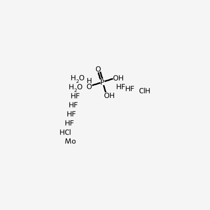 Cl.Cl.F.F.F.F.F.F.O.O.O=P(O)(O)O.[Mo]